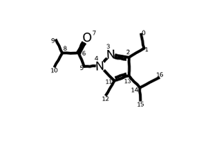 CCc1nn(CC(=O)C(C)C)c(C)c1C(C)C